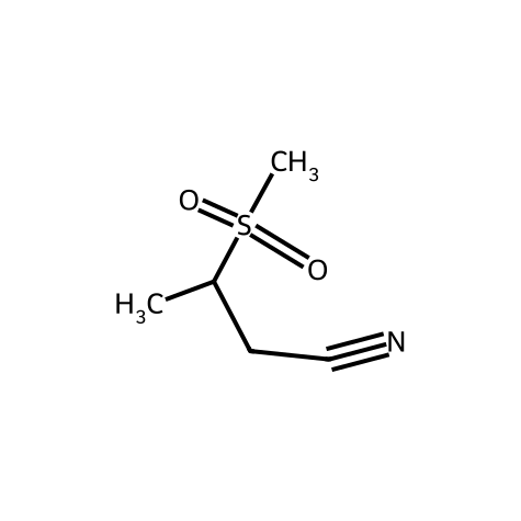 CC(CC#N)S(C)(=O)=O